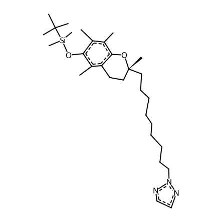 Cc1c(C)c2c(c(C)c1O[Si](C)(C)C(C)(C)C)CC[C@@](C)(CCCCCCCCCn1nccn1)O2